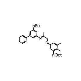 CCCCCCCCc1cc(N=CC(C)=Nc2cc(CCCC)cc(-c3ccccc3)c2)cc(C)c1C